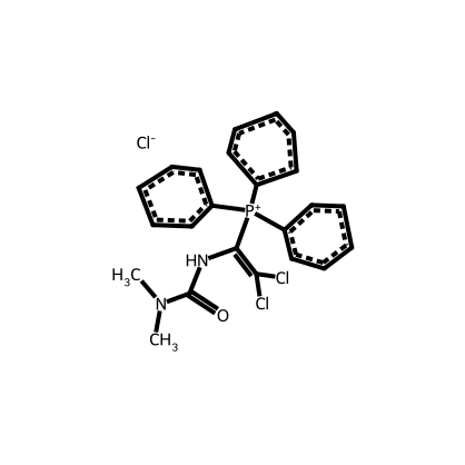 CN(C)C(=O)NC(=C(Cl)Cl)[P+](c1ccccc1)(c1ccccc1)c1ccccc1.[Cl-]